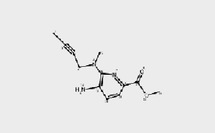 CC#CCN(C)c1nc(C(=O)OC)ccc1N